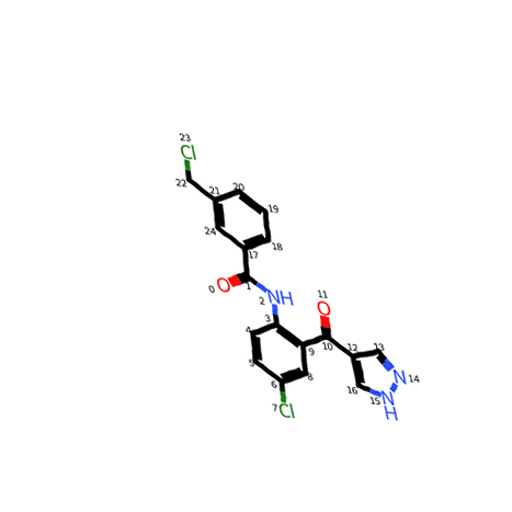 O=C(Nc1ccc(Cl)cc1C(=O)c1cn[nH]c1)c1cccc(CCl)c1